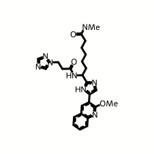 CNC(=O)CCCCCC(NC(=O)CCn1cncn1)c1ncc(-c2cc3ccccc3nc2OC)[nH]1